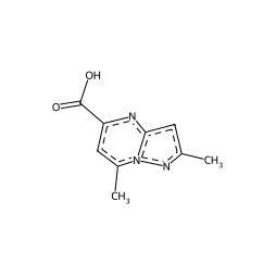 Cc1cc2nc(C(=O)O)cc(C)n2n1